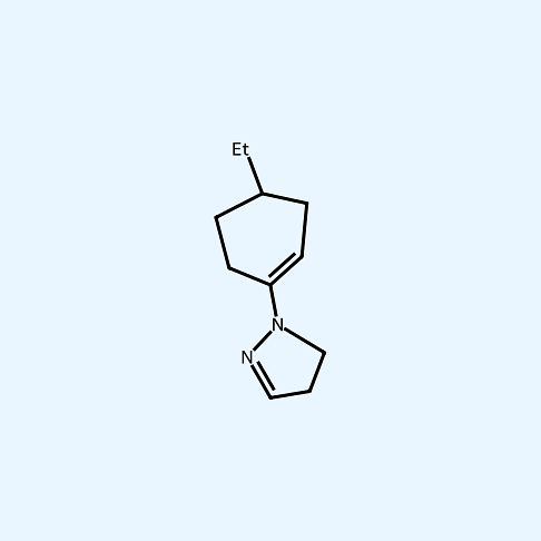 CCC1CC=C(N2CCC=N2)CC1